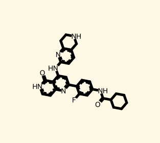 O=C(Nc1ccc(-c2cc(Nc3ccc4c(n3)CCNC4)c3c(=O)[nH]ccc3n2)c(F)c1)C1CCCCC1